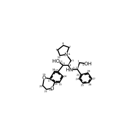 OC[C@H](N[C@H](CN1CCCC1)C(O)c1ccc2c(c1)OCCO2)c1ccccc1